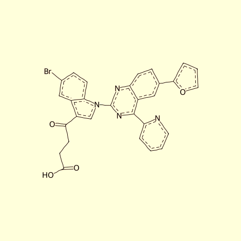 O=C(O)CCC(=O)c1cn(-c2nc(-c3ccccn3)c3cc(-c4ccco4)ccc3n2)c2ccc(Br)cc12